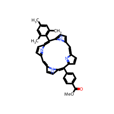 COC(=O)c1ccc(-c2c3nc(cc4ccc([nH]4)c(-c4c(C)cc(C)cc4C)c4nc(cc5ccc2[nH]5)C=C4)C=C3)cc1